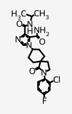 CC(C)NC(=O)c1ncn(C2CCC3(CC2)CCN(c2ccc(F)cc2Cl)C3=O)c1C(N)=O